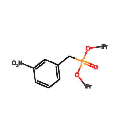 CC(C)OP(=O)(Cc1cccc([N+](=O)[O-])c1)OC(C)C